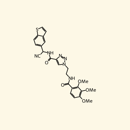 COc1ccc(C(=O)NCCn2cc(C(=O)NC(C#N)c3ccc4sccc4c3)nn2)c(OC)c1OC